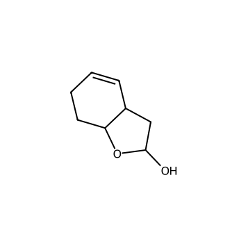 OC1CC2C=CCCC2O1